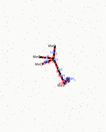 COCCCOCCNC(=O)CCOCC(COCCC(=O)NCCOCCOC)(COCCC(=O)NCCOCCOC)NC(=O)CCOCCOCCNC(=O)CCCC(=O)NOCCCON1C(O)[C@H](n2cnc3c(N)ncnc32)O[C@H](CSC)C1O